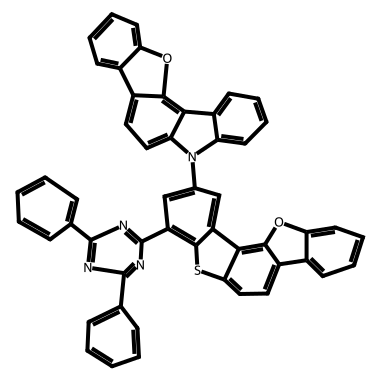 c1ccc(-c2nc(-c3ccccc3)nc(-c3cc(-n4c5ccccc5c5c6oc7ccccc7c6ccc54)cc4c3sc3ccc5c6ccccc6oc5c34)n2)cc1